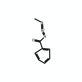 CN=[N+]=NC(=O)c1ccccc1